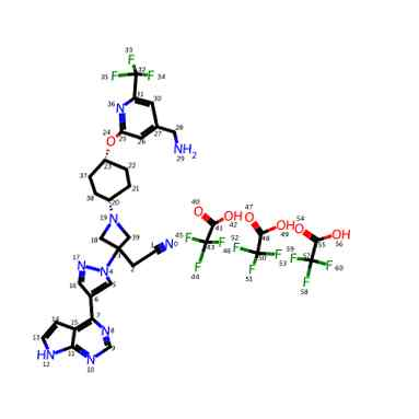 N#CCC1(n2cc(-c3ncnc4[nH]ccc34)cn2)CN([C@H]2CC[C@@H](Oc3cc(CN)cc(C(F)(F)F)n3)CC2)C1.O=C(O)C(F)(F)F.O=C(O)C(F)(F)F.O=C(O)C(F)(F)F